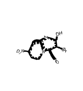 CC(C)c1c(O)nc2cc([N+](=O)[O-])ccn2c1=O